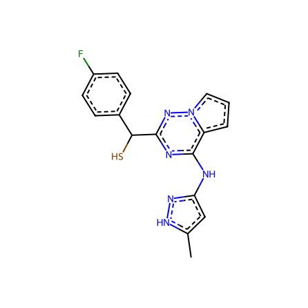 Cc1cc(Nc2nc(C(S)c3ccc(F)cc3)nn3cccc23)n[nH]1